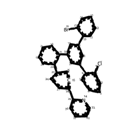 Clc1ccccc1-c1cc(-c2ccccc2Br)cc(-c2ccccc2-c2ccc(-c3ccccn3)cc2)c1